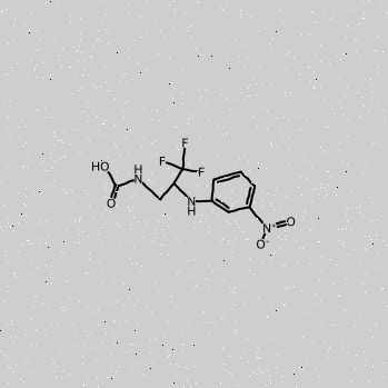 O=C(O)NCC(Nc1cccc([N+](=O)[O-])c1)C(F)(F)F